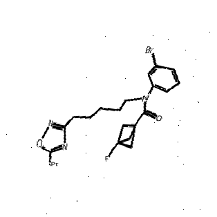 CC(C)c1nc(CCCCCN(C(=O)C23CC(F)(C2)C3)c2cccc(Br)c2)no1